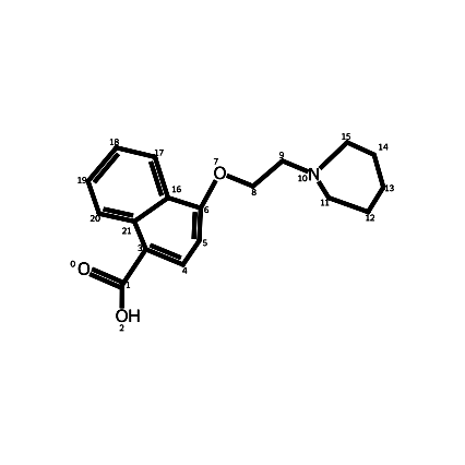 O=C(O)c1ccc(OCCN2CCCCC2)c2ccccc12